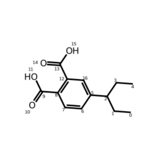 CCC(CC)c1ccc(C(=O)O)c(C(=O)O)c1